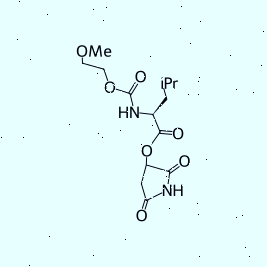 COCCOC(=O)N[C@@H](CC(C)C)C(=O)OC1CC(=O)NC1=O